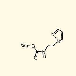 CC(C)(C)OC(=O)NCCn1cc[c]n1